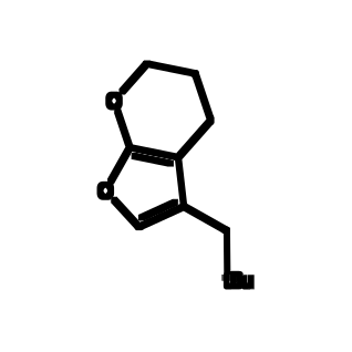 CC(C)(C)Cc1coc2c1CCCO2